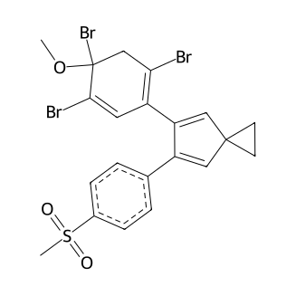 COC1(Br)CC(Br)=C(C2=CC3(C=C2c2ccc(S(C)(=O)=O)cc2)CC3)C=C1Br